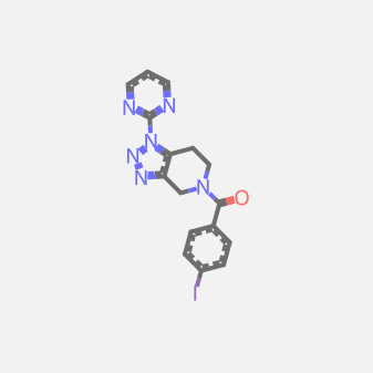 O=C(c1ccc(I)cc1)N1CCc2c(nnn2-c2ncccn2)C1